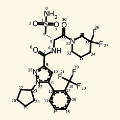 NS(=O)(=O)C[C@@H](NC(=O)c1cc(-c2ccccc2C(F)(F)F)n(C2CCCC2)n1)C(=O)N1CCCC(F)(F)C1